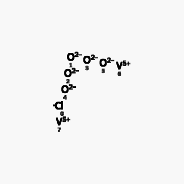 [Cl].[O-2].[O-2].[O-2].[O-2].[O-2].[V+5].[V+5]